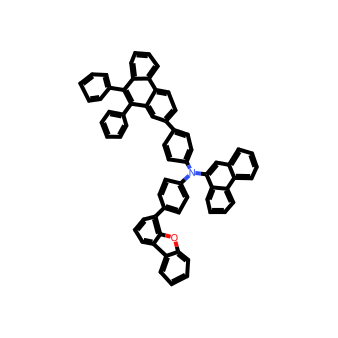 c1ccc(-c2c(-c3ccccc3)c3cc(-c4ccc(N(c5ccc(-c6cccc7c6oc6ccccc67)cc5)c5cc6ccccc6c6ccccc56)cc4)ccc3c3ccccc23)cc1